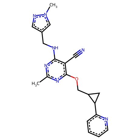 Cc1nc(NCc2cnn(C)c2)c(C#N)c(OCC2CC2c2ccccn2)n1